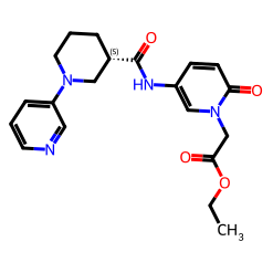 CCOC(=O)Cn1cc(NC(=O)[C@H]2CCCN(c3cccnc3)C2)ccc1=O